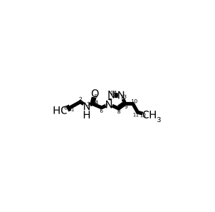 C#CCNC(=O)Cn1cc(CCC)nn1